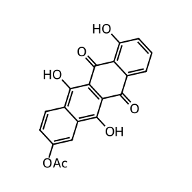 CC(=O)Oc1ccc2c(O)c3c(c(O)c2c1)C(=O)c1cccc(O)c1C3=O